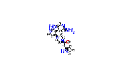 Nc1cc2c(cn1)[nH]c1nccc(N3CCN(C(=O)C[C@@H]4CCCN4)CC3)c12